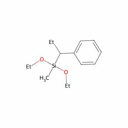 CCO[Si](C)(OCC)C(CC)c1ccccc1